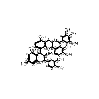 O=C(OC1Cc2c(O)cc(O)c(C3c4c(O)cc(O)cc4OC(c4ccc(O)c(O)c4)C3O)c2OC1c1ccc(O)c(O)c1)c1cc(O)c(O)c(O)c1